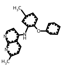 Cc1ccc(Oc2ccccc2)c(Nc2ccnc3nc(C)ccc23)c1